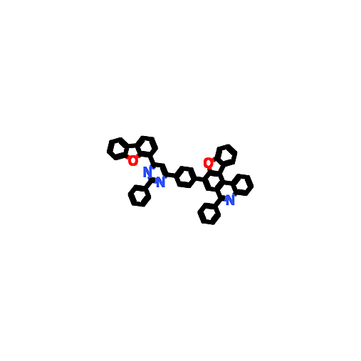 c1ccc(-c2nc(-c3ccc(-c4cc5c(-c6ccccc6)nc6ccccc6c5c5c4oc4ccccc45)cc3)cc(-c3cccc4c3oc3ccccc34)n2)cc1